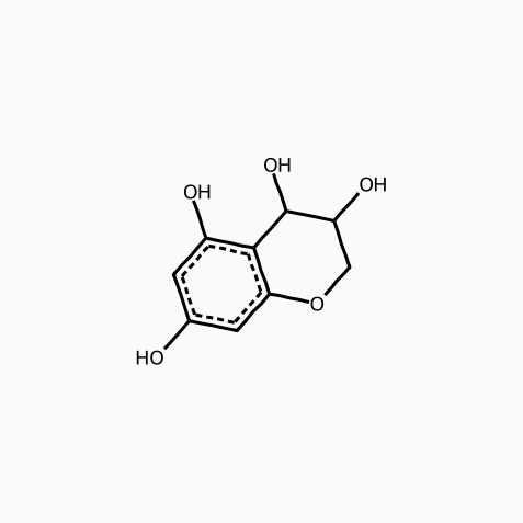 Oc1cc(O)c2c(c1)OCC(O)C2O